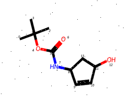 CC(C)(C)OC(=O)NC1C=CC(O)C1